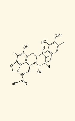 CCCC(=O)NC[C@H]1c2c(c(O)c(C)c3c2OCO3)CC2[C@@H]3c4c(cc(C)c(OC)c4O)C[C@@H]([C@H](C#N)N21)N3C